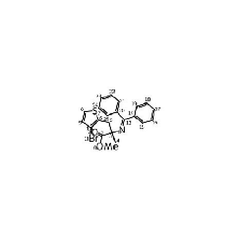 COC(=O)C(C)(Cc1sccc1Br)N=C(c1ccccc1)c1ccccc1